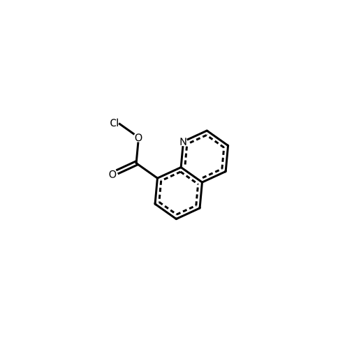 O=C(OCl)c1cccc2cccnc12